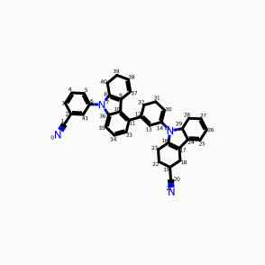 N#Cc1cccc(-n2c3c(c4c(C5=CC(N6C7=C(CC(C#N)CC7)C7=CC=CCC76)=CCC5)cccc42)C=CCC3)c1